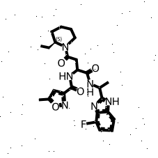 CC[C@H]1CCCCN1C(=O)CC(NC(=O)c1cc(C)on1)C(=O)NC(C)c1nc2c(F)cccc2[nH]1